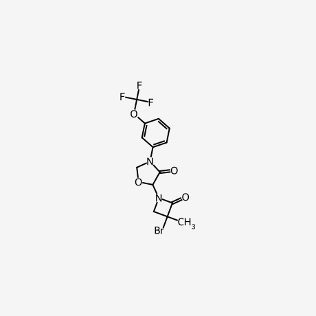 CC1(Br)CN(C2OCN(c3cccc(OC(F)(F)F)c3)C2=O)C1=O